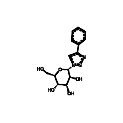 OC[C@H]1O[C@H](n2cc(-c3ccccc3)nn2)[C@@H](O)[C@@H](O)[C@@H]1O